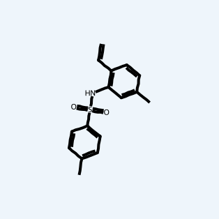 C=Cc1ccc(C)cc1NS(=O)(=O)c1ccc(C)cc1